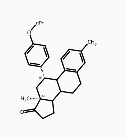 CCCOc1ccc([C@H]2C[C@]3(C)C(=O)CCC3C3CCc4cc(C)ccc4C32)cc1